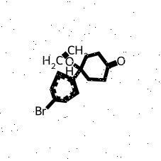 C=C.O=C1CCC(O)(c2ccc(Br)cc2)CC1